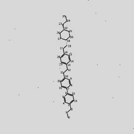 CCCc1ccc(-c2ccc(CCc3ccc(CC[C@H]4CC[C@H](CCC)CC4)cc3)cc2)cc1